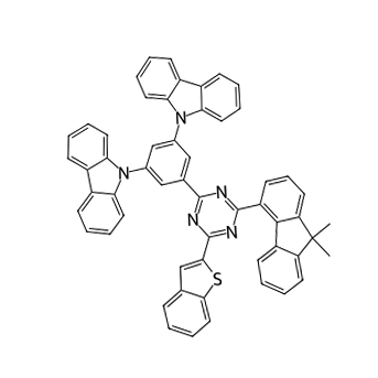 CC1(C)c2ccccc2-c2c(-c3nc(-c4cc(-n5c6ccccc6c6ccccc65)cc(-n5c6ccccc6c6ccccc65)c4)nc(-c4cc5ccccc5s4)n3)cccc21